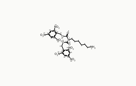 NCCCCCCN(C(=O)OCc1c([N+](=O)[O-])cc([N+](=O)[O-])cc1[N+](=O)[O-])C(=O)OCc1c([N+](=O)[O-])cc([N+](=O)[O-])cc1[N+](=O)[O-]